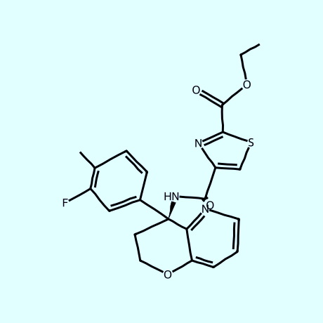 CCOC(=O)c1nc(C(=O)N[C@]2(c3ccc(C)c(F)c3)CCOc3cccnc32)cs1